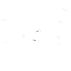 C/C=C\C1=C(C(=O)OCOC(C)=O)N2C(=O)[C@@H](NC(=O)/C(=N\OC(C)=O)c3csc(N)n3)[C@@H]2SC1